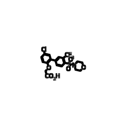 O=C(O)COc1ccc(Cl)cc1-c1ccc(S(=O)(=O)N2CCOCC2)c(C(F)(F)F)c1